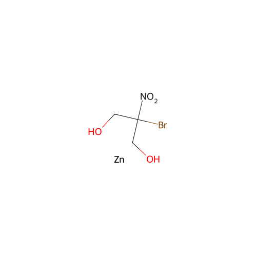 O=[N+]([O-])C(Br)(CO)CO.[Zn]